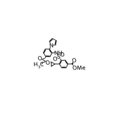 COC(=O)c1ccc(C2CC2)c(S(=O)(=O)Nc2cc(S(C)(=O)=O)ccc2-n2cccc2)c1